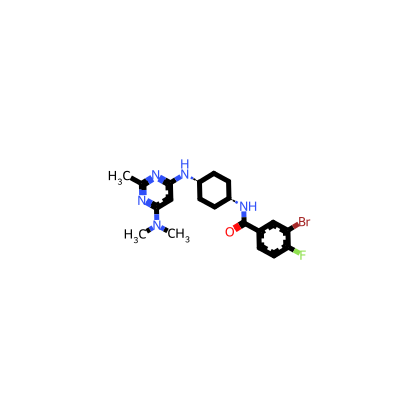 Cc1nc(N[C@H]2CC[C@@H](NC(=O)c3ccc(F)c(Br)c3)CC2)cc(N(C)C)n1